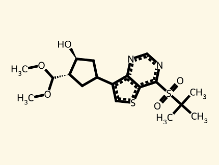 COC(OC)[C@H]1CC(c2csc3c(S(=O)(=O)C(C)(C)C)ncnc23)C[C@@H]1O